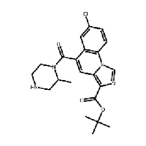 CC1CNCCN1C(=O)c1cc2c(C(=O)OC(C)(C)C)ncn2c2ccc(Cl)cc12